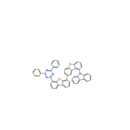 c1ccc(-c2nc(-c3ccccc3)nc(-c3cccc4c3oc3c(-c5ccc6sc7cccc(-n8c9ccccc9c9ccccc98)c7c6c5)cccc34)n2)cc1